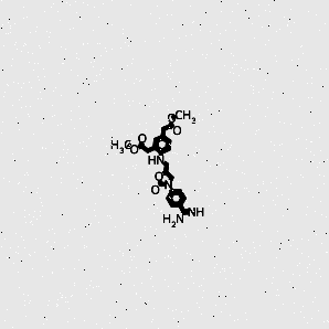 COC(=O)Cc1ccc(NCC2CN(c3ccc(C(=N)N)cc3)C(=O)O2)c(CC(=O)OC)c1